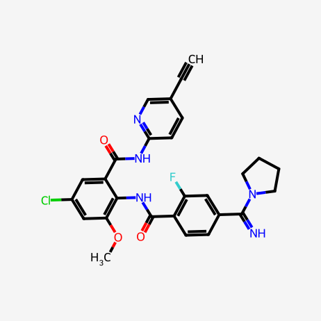 C#Cc1ccc(NC(=O)c2cc(Cl)cc(OC)c2NC(=O)c2ccc(C(=N)N3CCCC3)cc2F)nc1